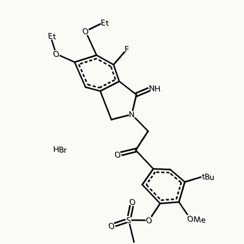 Br.CCOc1cc2c(c(F)c1OCC)C(=N)N(CC(=O)c1cc(OS(C)(=O)=O)c(OC)c(C(C)(C)C)c1)C2